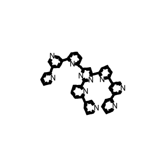 c1ccc(-c2cncc(-c3cccc(-c4cc(-c5cccc(-c6cncc(-c7ccccn7)c6)n5)nc(-c5cccc(-c6cccnc6)n5)n4)n3)c2)nc1